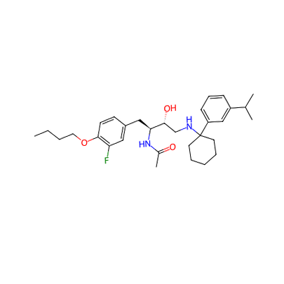 CCCCOc1ccc(C[C@H](NC(C)=O)[C@H](O)CNC2(c3cccc(C(C)C)c3)CCCCC2)cc1F